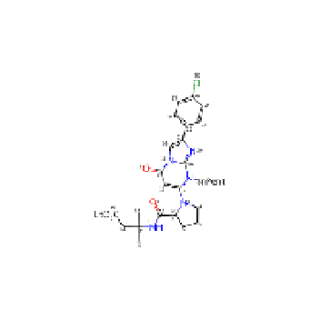 CCCCCn1c(N2CCC[C@H]2C(=O)NC(C)(C)CC(=O)OCC)cc(=O)n2cc(-c3ccc(Cl)cc3)nc12